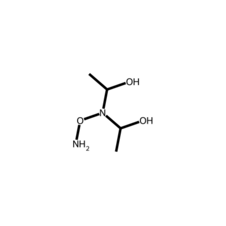 CC(O)N(ON)C(C)O